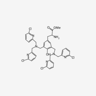 COC(=O)C(N)Cc1cc(CN(Cc2cccc(Cl)n2)Cc2cccc(Cl)n2)c(O)c(CN(Cc2cccc(Cl)n2)Cc2cccc(Cl)n2)c1